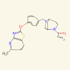 CC(=O)N1CC2CC1CN2Cc1ccc(Oc2nc3nc(C)ccc3s2)cc1